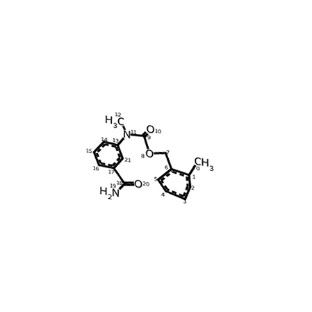 Cc1ccccc1COC(=O)N(C)c1cccc(C(N)=O)c1